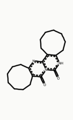 O=c1[nH]c2c(c3nc4c(c(=O)n13)CCCCCCC4)CCCCCCC2